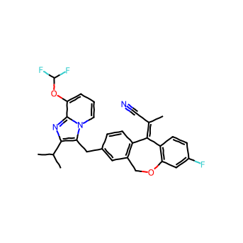 C/C(C#N)=C1/c2ccc(Cc3c(C(C)C)nc4c(OC(F)F)cccn34)cc2COc2cc(F)ccc21